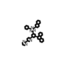 c1ccc(-c2nc(-c3cc(-c4ccc(-c5ncccn5)cn4)cc(-c4cc5ccccc5c5ccccc45)c3)nc(-c3ccc4ccccc4c3)n2)cc1